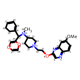 COc1ccc2ncc(OCCN3CCC(N(C)C(C4=CC=CCC4)C4=COC=CO4)CC3)nc2c1